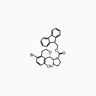 O=C(OCC1c2ccccc2-c2ccccc21)N1CCC[C@H]1[C@H]1OCCc2c(Br)ccc(O)c21